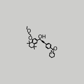 CCOCCOc1cc(C(O)C#Cc2ccc(C(=O)N3CCCCC3)cc2)cc2c1C(C)(C)CCC2(C)C